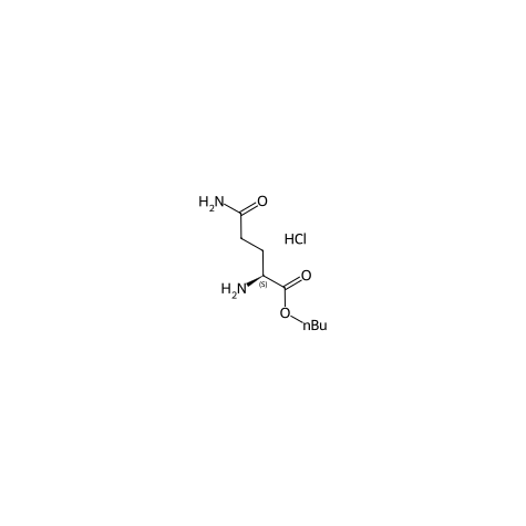 CCCCOC(=O)[C@@H](N)CCC(N)=O.Cl